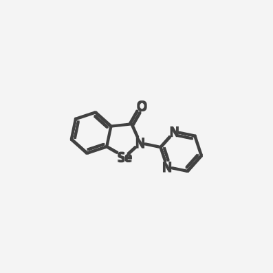 O=c1c2ccccc2[se]n1-c1ncccn1